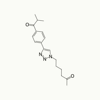 CC(=O)CCCCn1cc(-c2ccc(C(=O)C(C)C)cc2)nn1